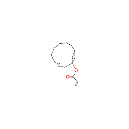 C=CC(=O)OC12CCCCCCCCC(C1)C2